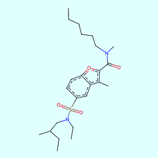 CCCCCCN(C)C(=O)c1oc2ccc(S(=O)(=O)N(CC)CC(C)CC)cc2c1C